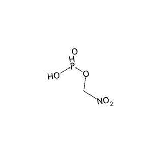 O=[N+]([O-])CO[PH](=O)O